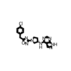 Clc1ccc(Cc2nc(N3CC[C@H](Nc4ncnc5[nH]ncc45)C3)no2)cc1